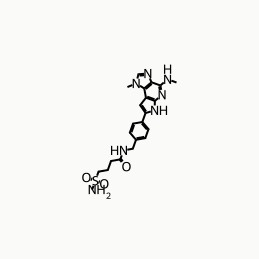 CNc1nc2[nH]c(-c3ccc(CNC(=O)CCCS(N)(=O)=O)cc3)cc2c2c1ncn2C